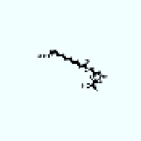 CCCCCCCC/C=C\CCCCCCCC(=O)OCC(CO)OC(=O)C(C)O